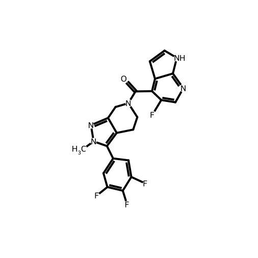 Cn1nc2c(c1-c1cc(F)c(F)c(F)c1)CCN(C(=O)c1c(F)cnc3[nH]ccc13)C2